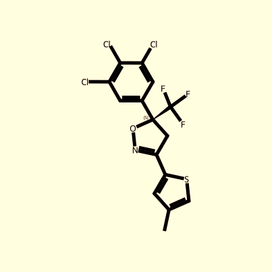 Cc1csc(C2=NO[C@@](c3cc(Cl)c(Cl)c(Cl)c3)(C(F)(F)F)C2)c1